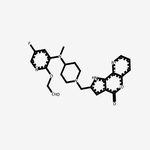 CN(c1cc(F)cnc1OCC=O)C1CCN(Cc2cc3c(=O)oc4cccnc4c3[nH]2)CC1